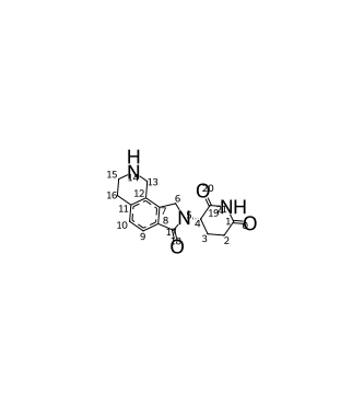 O=C1CC[C@H](N2Cc3c(ccc4c3CNCC4)C2=O)C(=O)N1